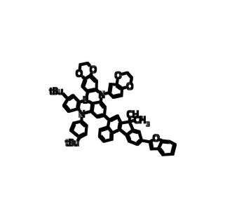 CC(C)(C)c1ccc(N2c3ccc(C(C)(C)C)cc3B3c4cc5c(cc4N(c4ccc6c(c4)OCCO6)c4cc(-c6cc7c(c8ccccc68)-c6ccc(-c8cc9ccccc9o8)cc6C7(C)C)cc2c43)OCCO5)cc1